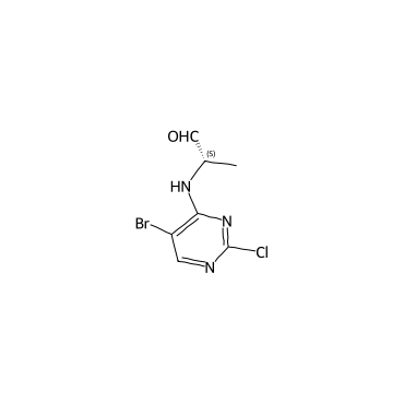 C[C@@H](C=O)Nc1nc(Cl)ncc1Br